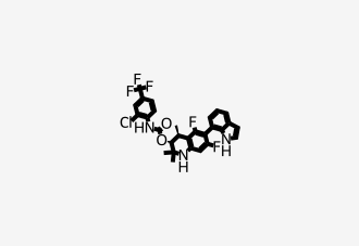 C[C@H]1c2c(cc(F)c(-c3cccc4cc[nH]c34)c2F)NC(C)(C)[C@@H]1OC(=O)Nc1ccc(C(F)(F)F)cc1Cl